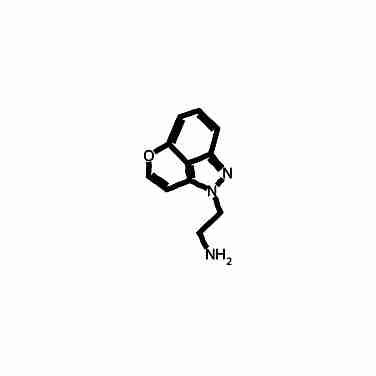 NCCn1nc2cccc3c2c1C=CO3